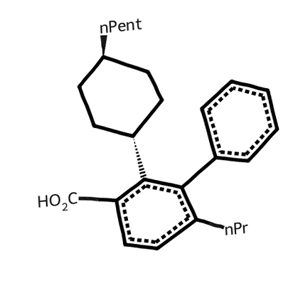 CCCCC[C@H]1CC[C@H](c2c(C(=O)O)ccc(CCC)c2-c2ccccc2)CC1